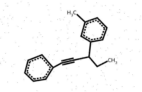 CCC(C#Cc1ccccc1)c1cccc(C)c1